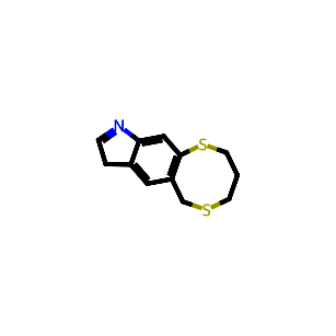 C1=Nc2cc3c(cc2C1)CSCCCS3